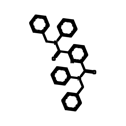 O=C(c1cccc(C(=O)N(Cc2ccccc2)c2ccccc2)n1)N(Cc1ccccc1)c1ccccc1